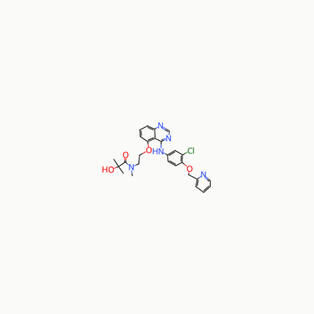 CN(CCOc1cccc2ncnc(Nc3ccc(OCc4ccccn4)c(Cl)c3)c12)C(=O)C(C)(C)O